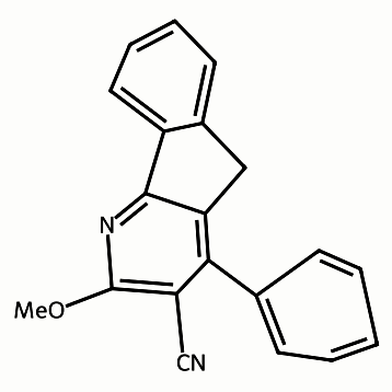 COc1nc2c(c(-c3ccccc3)c1C#N)Cc1ccccc1-2